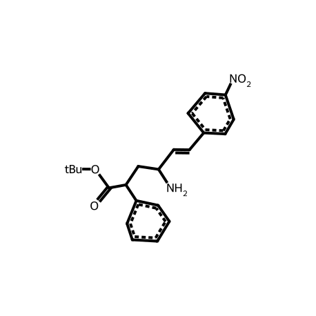 CC(C)(C)OC(=O)C(CC(N)C=Cc1ccc([N+](=O)[O-])cc1)c1ccccc1